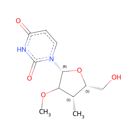 COC1[C@@H](C)[C@@H](CO)O[C@H]1n1ccc(=O)[nH]c1=O